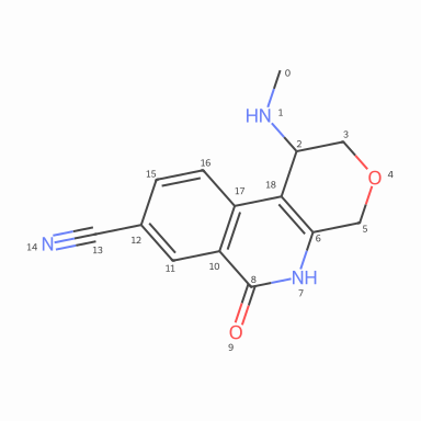 CNC1COCc2[nH]c(=O)c3cc(C#N)ccc3c21